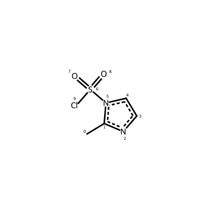 Cc1nccn1S(=O)(=O)Cl